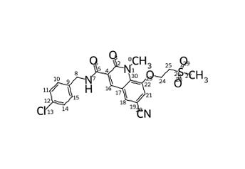 Cn1c(=O)c(C(=O)NCc2ccc(Cl)cc2)cc2cc(C#N)cc(OCCS(C)(=O)=O)c21